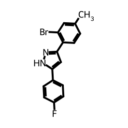 Cc1ccc(-c2cc(-c3ccc(F)cc3)[nH]n2)c(Br)c1